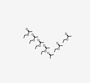 CC(C)=O.CCOC(C)=O.CCOC(C)=O.CCOC(C)=O.CCOC(C)=O.CCOC(C)=O.CCOC(C)=O